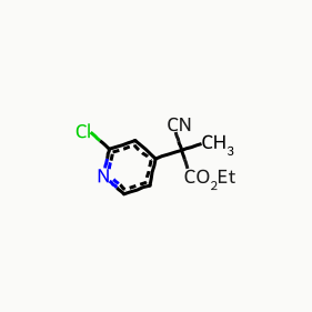 CCOC(=O)C(C)(C#N)c1ccnc(Cl)c1